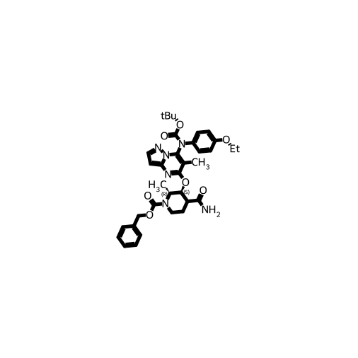 CCOc1ccc(N(C(=O)OC(C)(C)C)c2c(C)c(O[C@H]3C(C(N)=O)CCN(C(=O)OCc4ccccc4)[C@@H]3C)nc3ccnn23)cc1